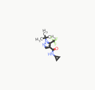 CC(C)(C)n1ncc(C(=O)NC2CC2)c1C(F)(F)F